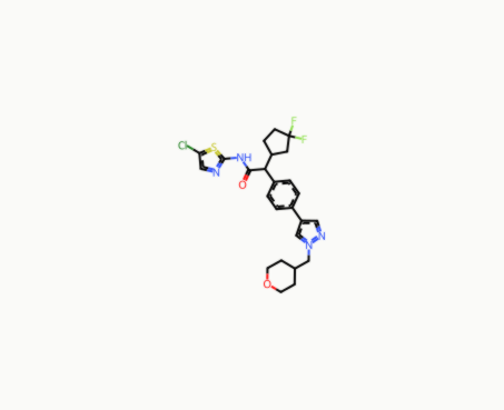 O=C(Nc1ncc(Cl)s1)C(c1ccc(-c2cnn(CC3CCOCC3)c2)cc1)C1CCC(F)(F)C1